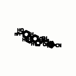 CCC[C@@]1(O)CC[C@H]2[C@H](CC[C@H]3C4CC[C@H]([C@@](C)(Cn5cc(C#N)cn5)OC)[C@@]4(C)CC[C@H]23)C1